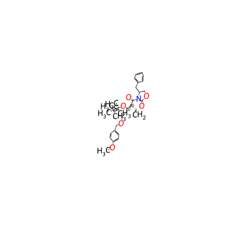 C=C[C@@H](C(=O)N1C(=O)OCC1Cc1ccccc1)[C@H](CCOCc1ccc(OC)cc1)O[Si](C)(C)C(C)(C)C